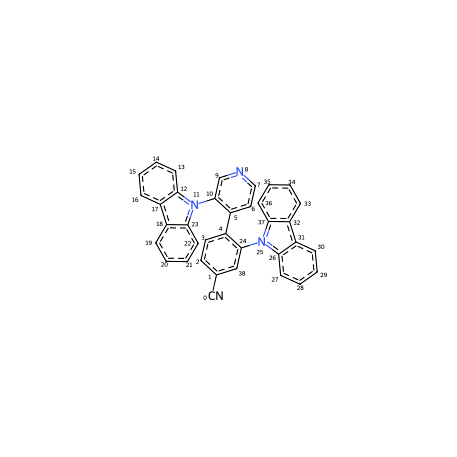 N#Cc1ccc(-c2ccncc2-n2c3ccccc3c3ccccc32)c(-n2c3ccccc3c3ccccc32)c1